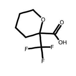 O=C(O)C1(C(F)(F)F)CCCCO1